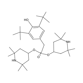 CC1(C)CC(OP(=O)(Cc2cc(C(C)(C)C)c(O)c(C(C)(C)C)c2)OC2CC(C)(C)NC(C)(C)C2)CC(C)(C)N1